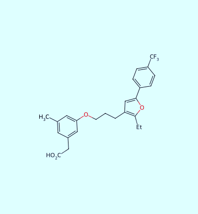 CCc1oc(-c2ccc(C(F)(F)F)cc2)cc1CCCOc1cc(C)cc(CC(=O)O)c1